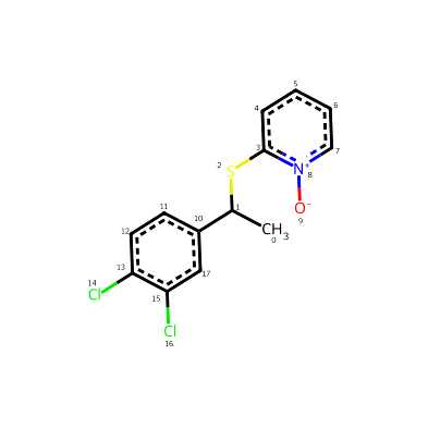 CC(Sc1cccc[n+]1[O-])c1ccc(Cl)c(Cl)c1